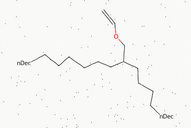 C=COCC(CCCCCCCCCCCCCC)CCCCCCCCCCCCCCCC